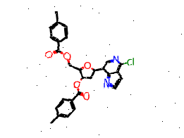 Cc1ccc(C(=O)OCC2OC(C3C=NC(Cl)=C4C=CN=C43)CC2OC(=O)c2ccc(C)cc2)cc1